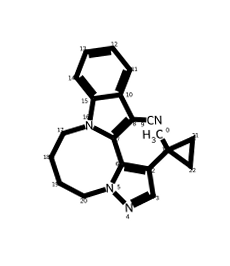 CC1(c2cnn3c2-c2c(C#N)c4ccccc4n2CCCC3)CC1